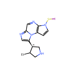 CCC1CNC[C@@H]1c1cnc2cnc3c(ccn3SI)n12